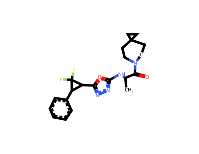 CC(Nc1nnc(C2C(c3ccccc3)C2(F)F)o1)C(=O)N1CCC2(CC1)CC2